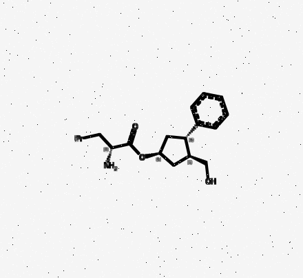 CC(C)C[C@@H](N)C(=O)O[C@@H]1C[C@H](CO)[C@@H](c2ccccc2)C1